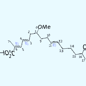 COC(C/C=C/C=C(\C)C(=O)O)CC/C=C/CCCC(C)O